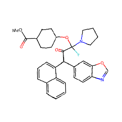 COC(=O)C1CCC(OC(F)(C(=O)C(c2ccc3ncoc3c2)c2cccc3ccccc23)N2CCCC2)CC1